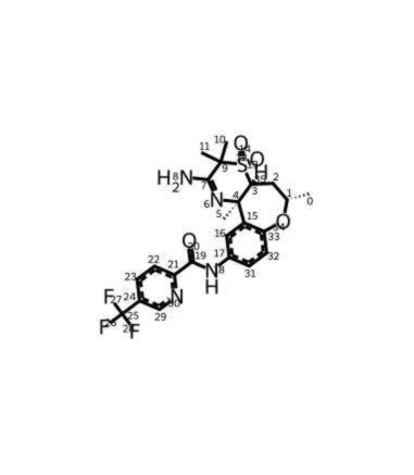 C[C@H]1C[C@@H]2[C@](C)(N=C(N)C(C)(C)S2(=O)=O)c2cc(NC(=O)c3ccc(C(F)(F)F)cn3)ccc2O1